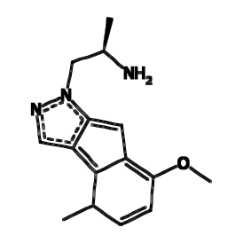 COC1=C2C=c3c(cnn3C[C@@H](C)N)=C2C(C)C=C1